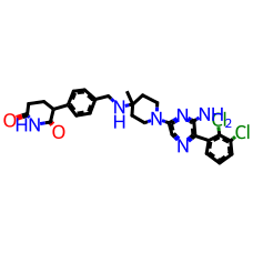 CC1(NCc2ccc(C3CCC(=O)NC3=O)cc2)CCN(c2cnc(-c3cccc(Cl)c3Cl)c(N)n2)CC1